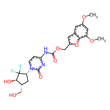 COc1cc(OC)c2oc(COC(=O)Nc3ccn([C@@H]4C[C@H](CO)[C@@H](O)C4(F)F)c(=O)n3)cc2c1